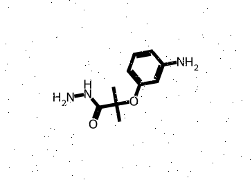 CC(C)(Oc1cccc(N)c1)C(=O)NN